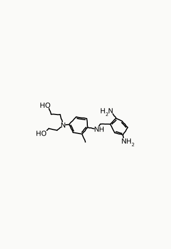 Cc1cc(N(CCO)CCO)ccc1NCc1cc(N)ccc1N